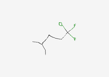 CC(C)CCC(F)(F)Cl